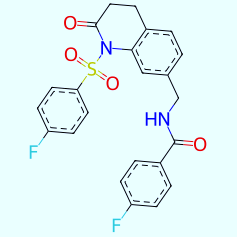 O=C(NCc1ccc2c(c1)N(S(=O)(=O)c1ccc(F)cc1)C(=O)CC2)c1ccc(F)cc1